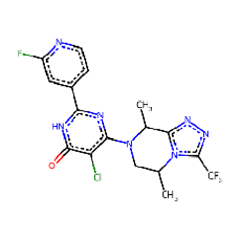 CC1c2nnc(C(F)(F)F)n2C(C)CN1c1nc(-c2ccnc(F)c2)[nH]c(=O)c1Cl